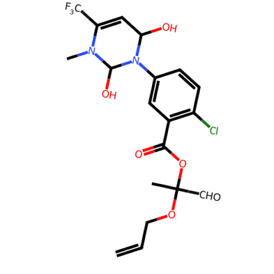 C=CCOC(C)(C=O)OC(=O)c1cc(N2C(O)C=C(C(F)(F)F)N(C)C2O)ccc1Cl